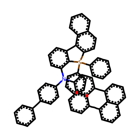 c1ccc(-c2ccc(N(c3ccc(-c4cccc5cccc(-c6ccccc6)c45)cc3)c3cccc4c3S(c3ccccc3)(c3ccccc3)c3ccc5ccccc5c3-4)cc2)cc1